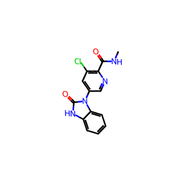 CNC(=O)c1ncc(-n2c(=O)[nH]c3ccccc32)cc1Cl